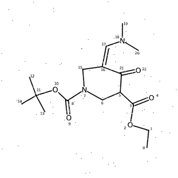 CCOC(=O)C1CN(C(=O)OC(C)(C)C)CC(=CN(C)C)C1=O